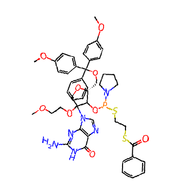 COCCOC1(n2cnc3c(=O)[nH]c(N)nc32)CO[C@H](COC(c2ccccc2)(c2ccc(OC)cc2)c2ccc(OC)cc2)C1OP(SCCSC(=O)c1ccccc1)N1CCCC1